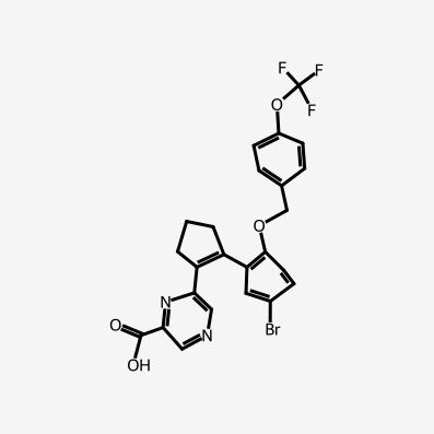 O=C(O)c1cncc(C2=C(c3cc(Br)ccc3OCc3ccc(OC(F)(F)F)cc3)CCC2)n1